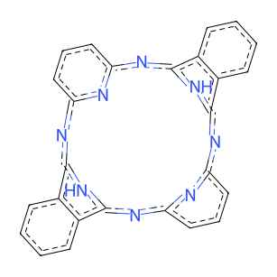 c1cc2nc(c1)nc1[nH]c(nc3cccc(n3)nc3[nH]c(n2)c2ccccc32)c2ccccc12